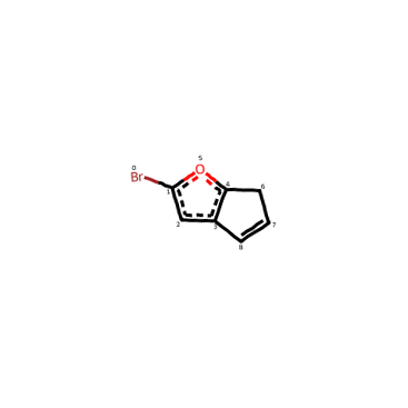 Brc1cc2c(o1)CC=C2